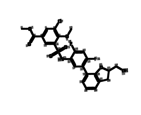 COC(=O)c1cc(Cl)c(OC)c(S(=O)(=O)Nc2cc(-c3cccc4c3OC(CO)C4)c(F)cc2F)c1